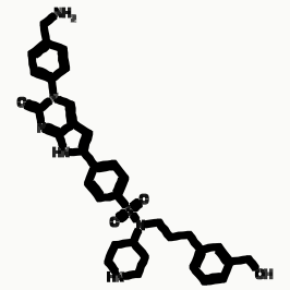 NCc1ccc(-n2cc3cc(-c4ccc(S(=O)(=O)N(CCCc5cccc(CO)c5)C5CCNCC5)cc4)[nH]c3nc2=O)cc1